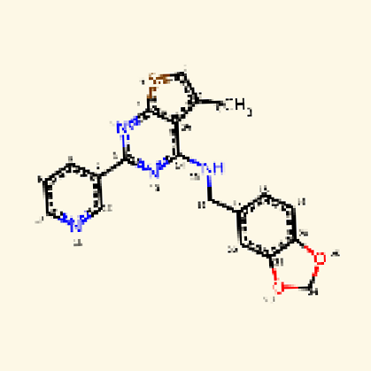 Cc1csc2nc(-c3cccnc3)nc(NCc3ccc4c(c3)OCO4)c12